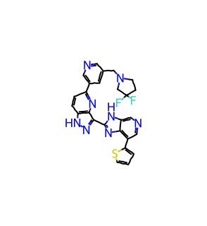 FC1(F)CCN(Cc2cncc(-c3ccc4[nH]nc(-c5nc6c(-c7cccs7)cncc6[nH]5)c4n3)c2)C1